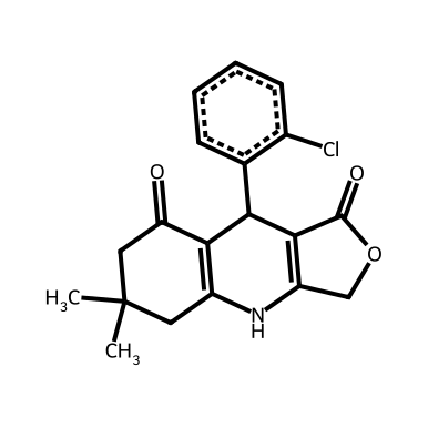 CC1(C)CC(=O)C2=C(C1)NC1=C(C(=O)OC1)C2c1ccccc1Cl